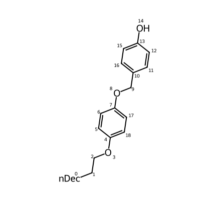 CCCCCCCCCCCCOc1ccc(OCc2ccc(O)cc2)cc1